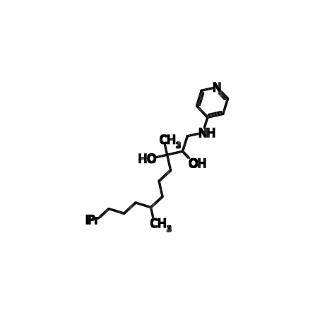 CC(C)CCCC(C)CCCC(C)(O)C(O)CNc1ccncc1